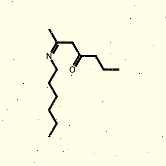 CCCCCC/N=C(/C)CC(=O)CCC